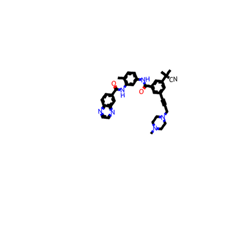 Cc1ccc(NC(=O)c2cc(C#CCN3CCN(C)CC3)cc(C(C)(C)C#N)c2)cc1NC(=O)c1ccc2nccnc2c1